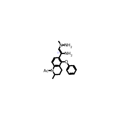 CC(=O)N1c2ccc(/C(N)=C/N(C)N)c(Oc3ccccc3)c2CCC1C